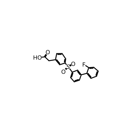 O=C(O)Cc1cccc(S(=O)(=O)c2cccc(-c3ccccc3F)c2)c1